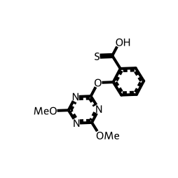 COc1nc(OC)nc(Oc2ccccc2C(O)=S)n1